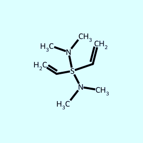 C=CS(C=C)(N(C)C)N(C)C